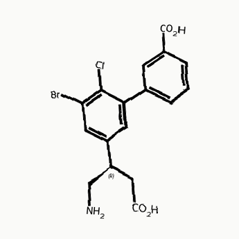 NC[C@H](CC(=O)O)c1cc(Br)c(Cl)c(-c2cccc(C(=O)O)c2)c1